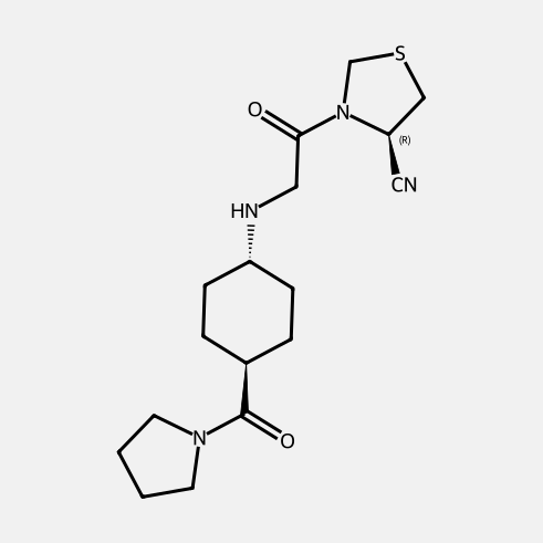 N#C[C@@H]1CSCN1C(=O)CN[C@H]1CC[C@H](C(=O)N2CCCC2)CC1